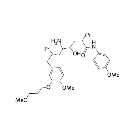 COCCCOc1cc(CC(CC(N)C(O)CC(C(=O)Nc2ccc(OC)cc2)C(C)C)C(C)C)ccc1OC